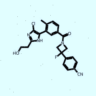 Cc1ccc(C(=O)N2CC(F)(c3ccc(C#N)cc3)C2)cc1-c1[nH]c(CCO)nc1Cl